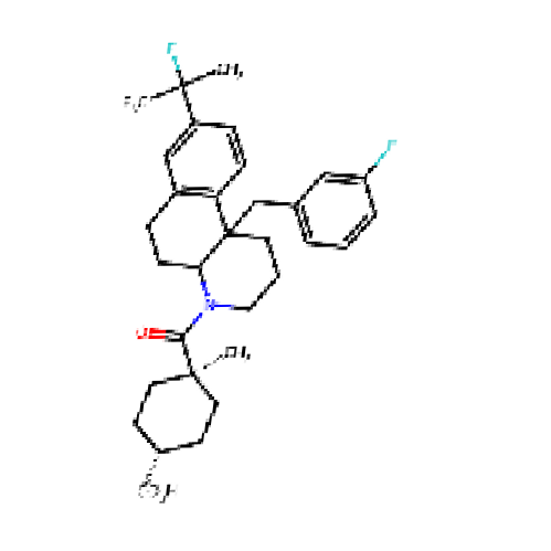 CC(F)(c1ccc2c(c1)CCC1N(C(=O)[C@]3(C)CC[C@@H](C(=O)O)CC3)CCCC21Cc1cccc(F)c1)C(F)(F)F